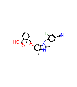 Cc1cc(OCC2(C)C=CC=CC2C(=O)O)cc2c1nc(C)n2Cc1ccc(C#N)cc1F